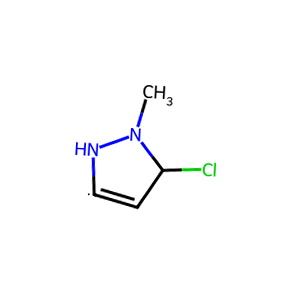 CN1N[C]=CC1Cl